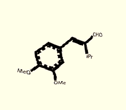 COc1ccc(C=C(C=O)C(C)C)cc1OC